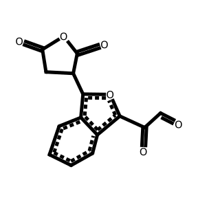 O=CC(=O)c1oc(C2CC(=O)OC2=O)c2ccccc12